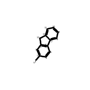 Ic1[c]c2c(cc1)-c1ccccc1C2